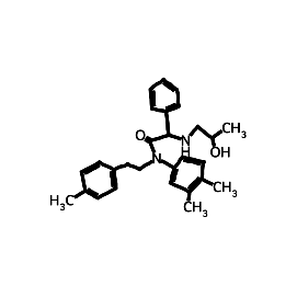 Cc1ccc(CCN(C(=O)C(NCC(C)O)c2ccccc2)c2ccc(C)c(C)c2)cc1